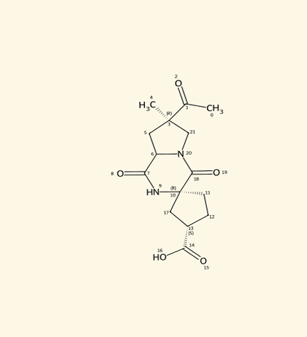 CC(=O)[C@]1(C)CC2C(=O)N[C@@]3(CC[C@H](C(=O)O)C3)C(=O)N2C1